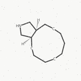 C1CCCC[C@@H]2CNC[C@@H]2CCCC1